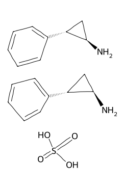 N[C@@H]1C[C@H]1c1ccccc1.N[C@@H]1C[C@H]1c1ccccc1.O=S(=O)(O)O